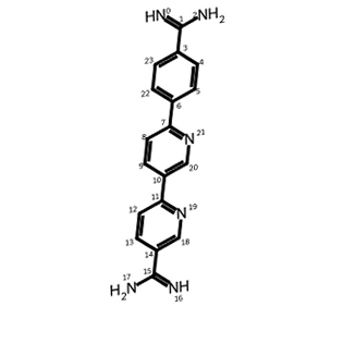 N=C(N)c1ccc(-c2ccc(-c3ccc(C(=N)N)cn3)cn2)cc1